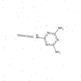 Nc1nc(N)nc(N)n1.O=C=O